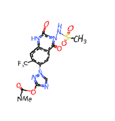 CNC(=O)Oc1ncn(-c2cc3c(=O)n(NS(C)(=O)=O)c(=O)[nH]c3cc2C(F)(F)F)n1